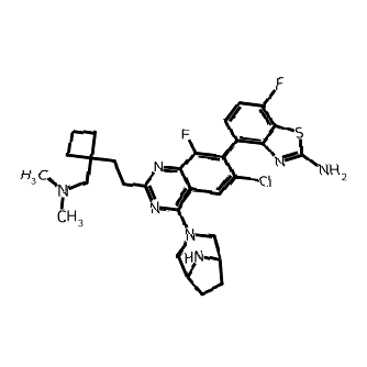 CN(C)CC1(CCc2nc(N3CC4CCC(C3)N4)c3cc(Cl)c(-c4ccc(F)c5sc(N)nc45)c(F)c3n2)CCC1